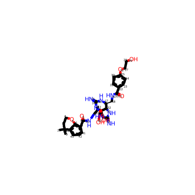 CC1(C)CCOc2c(C(=O)NC3CN4C(=N)N[C@@H](CNC(=O)c5ccc(OCCO)cc5)C5NC(=N)NC54C3(O)O)cccc21